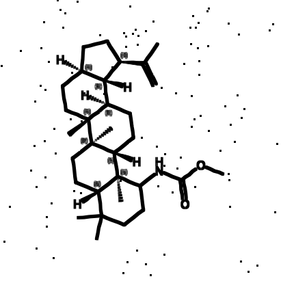 C=C(C)[C@@H]1CC[C@@H]2CC[C@]3(C)[C@H](CC[C@@H]4[C@@]5(C)C(NC(=O)OC)CCC(C)(C)[C@@H]5CC[C@]43C)[C@H]21